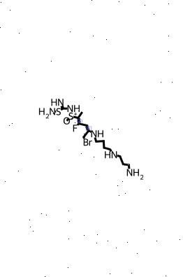 C/C(=C(F)\C=C(/CBr)NCCCCNCCCN)[S+]([O-])NC(=N)SN